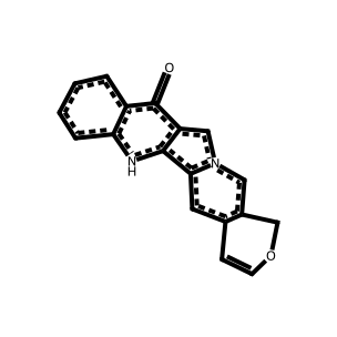 O=c1c2ccccc2[nH]c2c1cn1cc3c(cc21)C=COC3